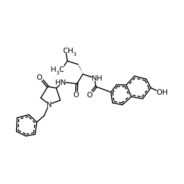 CC(C)C[C@H](NC(=O)c1ccc2cc(O)ccc2c1)C(=O)NC1CN(Cc2ccccc2)CC1=O